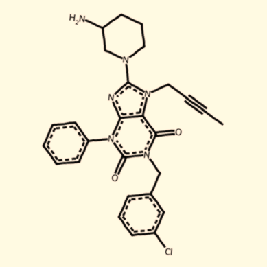 CC#CCn1c(N2CCCC(N)C2)nc2c1c(=O)n(Cc1cccc(Cl)c1)c(=O)n2-c1ccccc1